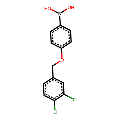 OB(O)c1ccc(OCc2ccc(Cl)c(Cl)c2)cc1